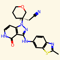 Cc1nc2ccc(Nc3nn([C@@]4(CC#N)CCCOC4)c4cc[nH]c(=O)c34)cc2s1